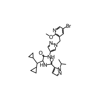 COc1ncc(Br)cc1Cn1cc(NC(=O)C(NC(=O)c2ccnn2C(C)C)C(C2CC2)C2CC2)cn1